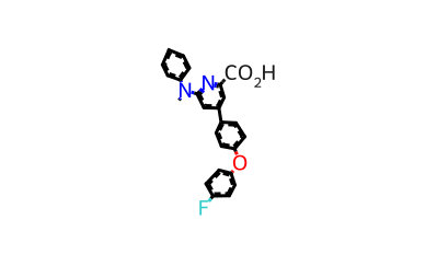 CN(c1ccccc1)c1cc(-c2ccc(Oc3ccc(F)cc3)cc2)cc(C(=O)O)n1